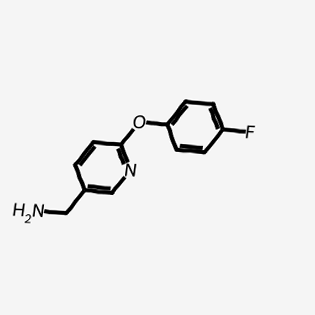 NCc1ccc(Oc2ccc(F)cc2)nc1